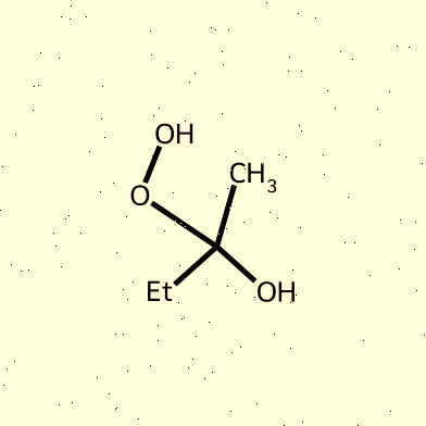 CCC(C)(O)OO